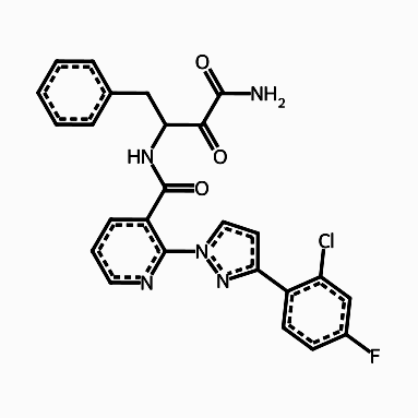 NC(=O)C(=O)C(Cc1ccccc1)NC(=O)c1cccnc1-n1ccc(-c2ccc(F)cc2Cl)n1